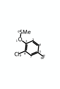 CSOc1ccc(F)cc1Cl